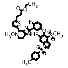 CCOC(=O)CCc1ccc(C2c3nc(-c4cc(Oc5c(F)cc6c(ccn6S(=O)(=O)c6ccc(C)cc6)c5S(C)(=O)=O)ccc4F)[nH]c3CCN2C)s1